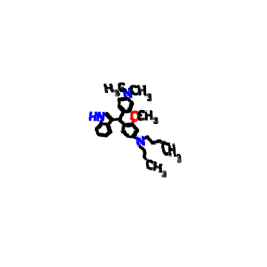 CCCCN(CCCC)c1ccc(C(c2ccc(N(C)C)cc2)c2c[nH]c3ccccc23)c(OC)c1